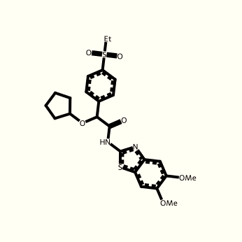 CCS(=O)(=O)c1ccc(C(OC2CCCC2)C(=O)Nc2nc3cc(OC)c(OC)cc3s2)cc1